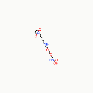 O=C(O)NCCOCCOCCNCCCCCCN1C(=O)C=CC1=O